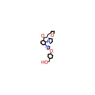 O=C(CCc1ccco1)c1cccc(N2CC(Oc3ccc(CO)cc3)C2)c1-n1cccc1